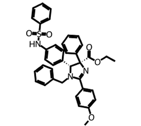 CCOC(=O)[C@]1(c2ccccc2)N=C(c2ccc(OC)cc2)N(Cc2ccccc2)[C@@H]1c1ccc(NS(=O)(=O)c2ccccc2)cc1